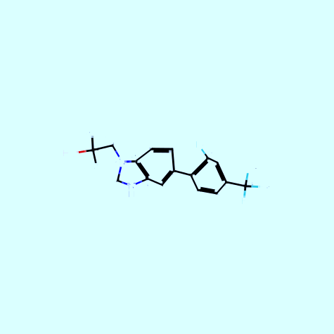 CC(C)(O)CN1CNc2cc(-c3ccc(C(F)(F)F)cc3F)ccc21